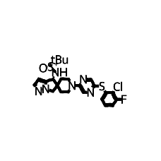 CC(C)(C)[S+]([O-])N[C@@H]1c2ccnn2CC12CCN(c1cnc(Sc3cccc(F)c3Cl)cn1)CC2